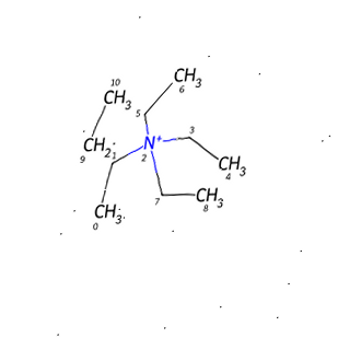 CC[N+](CC)(CC)CC.[CH2]C